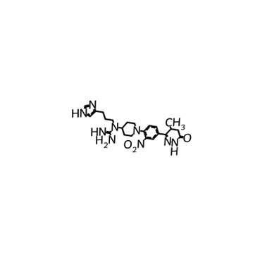 CC1CC(=O)NN=C1c1ccc(N2CCC(N(CCCc3c[nH]cn3)C(=N)N)CC2)c([N+](=O)[O-])c1